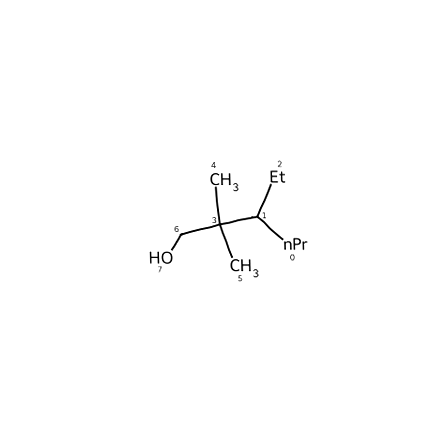 CCC[C](CC)C(C)(C)CO